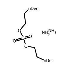 CCCCCCCCCCCCOS(=O)(=O)OCCCCCCCCCCCC.N.N